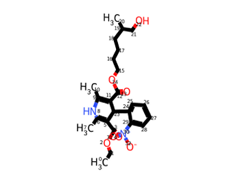 CCOC(=O)C1=C(C)NC(C)=C(C(=O)OCCCCC(C)CO)C1c1ccccc1[N+](=O)[O-]